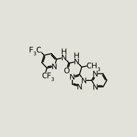 CC(NC(=O)Nc1cc(C(F)(F)F)cc(C(F)(F)F)n1)c1ncnn1-c1ncccn1